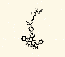 CN(CCN1CCCC1)C(=O)c1c(=O)c2ccc(N3CCN(C(=O)CCCCCNC(=O)OC(C)(C)C)CC3)nc2n2c3ccccc3n(C)c12